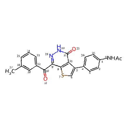 CC(=O)Nc1ccc(-c2csc3c(C(=O)c4cccc(C)c4)n[nH]c(=O)c23)cc1